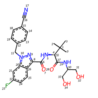 CC(C)(C)[C@H](NC(=O)c1nn(Cc2ccc(C#N)cc2)c2cc(F)ccc12)C(=O)NC(CO)CO